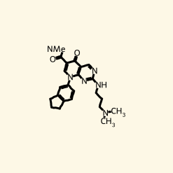 CNC(=O)c1cn(-c2ccc3c(c2)CCC3)c2nc(NCCCN(C)C)ncc2c1=O